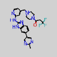 Cc1ncc(-c2ccc3nc(Nc4cc(CN5CCN(C(=O)CC(F)(F)F)CC5)ccn4)[nH]c3c2)cn1